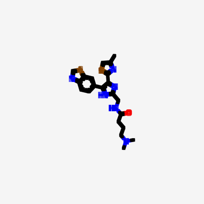 Cc1csc(-c2nc(CNC(=O)CCCN(C)C)[nH]c2-c2ccc3ncsc3c2)n1